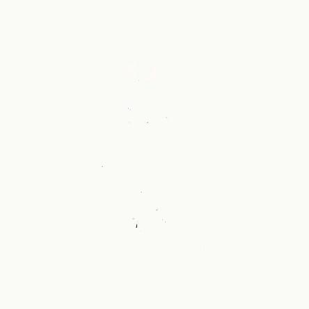 CC(=O)OC1CCN([C@H]2C[C@@]3(C)C(CCC4C3CC[C@@]3(C)C4C[C@H]([N+]4(C)CCC5(CC4)OCCO5)[C@@H]3OC(C)=O)C[C@@H]2OC(C)=O)CC1.[Br-]